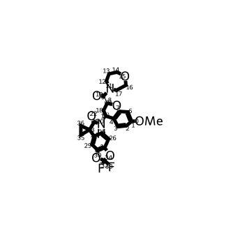 COc1ccc2c(c1)O[C@@H](C(=O)N1CCCOCC1)C[C@@H]2NC(=O)C1(c2ccc3c(c2)OC(F)(F)O3)CC1